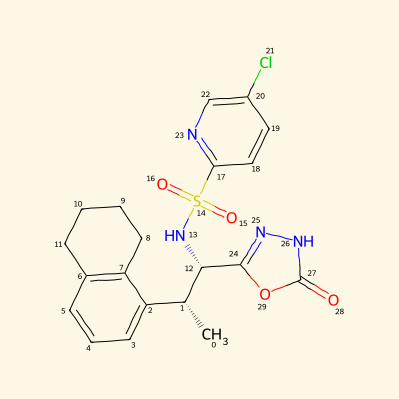 C[C@H](c1cccc2c1CCCC2)[C@H](NS(=O)(=O)c1ccc(Cl)cn1)c1n[nH]c(=O)o1